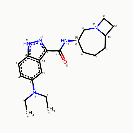 CCN(CC)c1ccc2[nH]nc(C(=O)N[C@@H]3CCCC4CCN4C3)c2c1